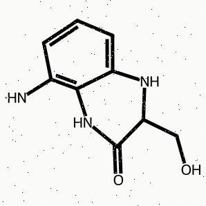 [NH]c1cccc2c1NC(=O)C(CO)N2